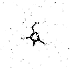 Cc1nn(CO)c(C)c1F